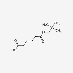 CC(C)(C)COC(=O)CCCCC(=O)O